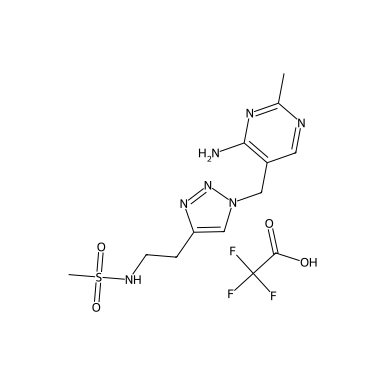 Cc1ncc(Cn2cc(CCNS(C)(=O)=O)nn2)c(N)n1.O=C(O)C(F)(F)F